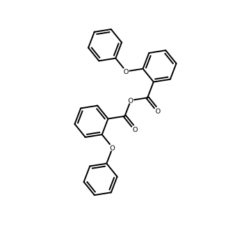 O=C(OC(=O)c1ccccc1Oc1ccccc1)c1ccccc1Oc1ccccc1